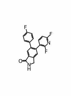 O=C1NCc2cc(-c3ccc(F)nc3F)c(-c3ccc(F)cc3)cc21